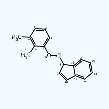 Cc1cccc([O][Ti][CH]2C=Cc3ccccc32)c1C